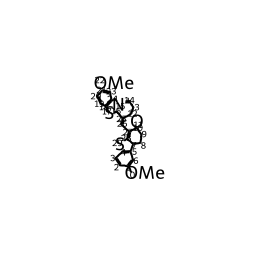 COc1ccc2c(c1)C1CCC3OC4CC[n+]5c(sc6ccc(OC)cc65)C4=CC3=C1S2